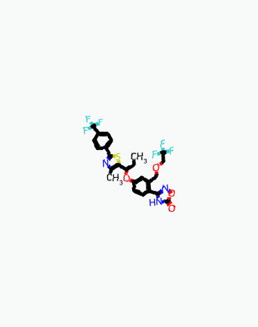 CCC(Oc1ccc(-c2noc(=O)[nH]2)c(COCC(F)(F)F)c1)c1sc(-c2ccc(C(F)(F)F)cc2)nc1C